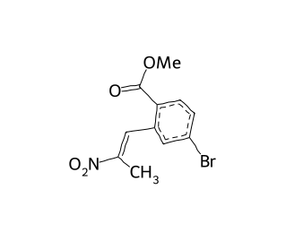 COC(=O)c1ccc(Br)cc1/C=C(\C)[N+](=O)[O-]